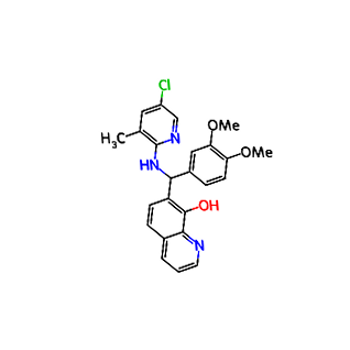 COc1ccc(C(Nc2ncc(Cl)cc2C)c2ccc3cccnc3c2O)cc1OC